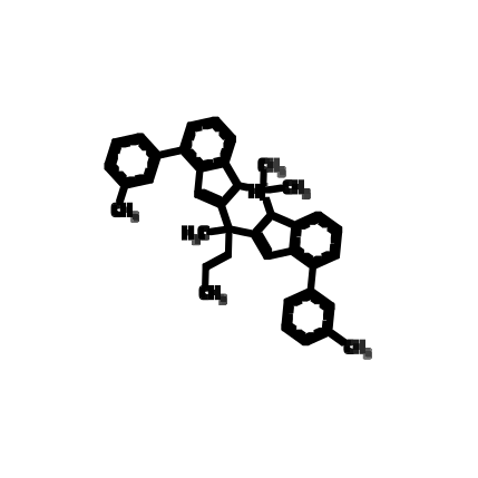 CCCC1(C)C2=Cc3c(-c4cccc(C)c4)cccc3[CH]2[Hf]([CH3])([CH3])[CH]2C1=Cc1c(-c3cccc(C)c3)cccc12